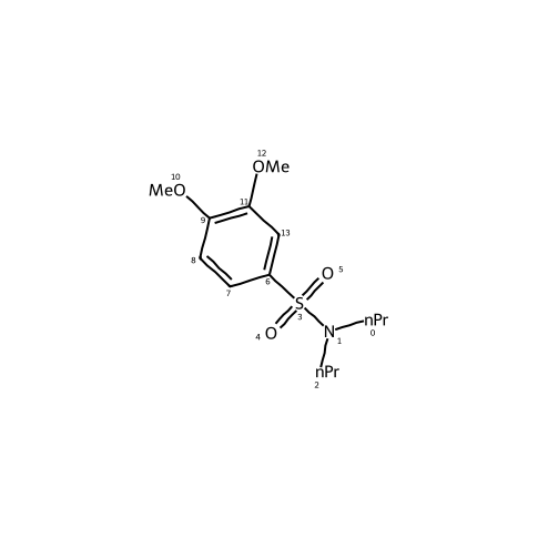 CCCN(CCC)S(=O)(=O)c1ccc(OC)c(OC)c1